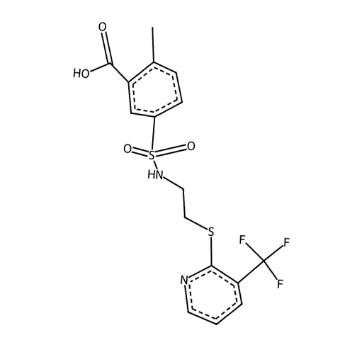 Cc1ccc(S(=O)(=O)NCCSc2ncccc2C(F)(F)F)cc1C(=O)O